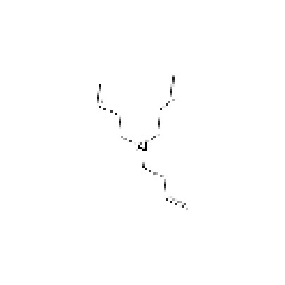 C=CC[CH2][Al]([CH2]CC=C)[CH2]CC=C